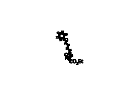 CCOC(=O)c1cc(CCCCOc2ccccc2)on1